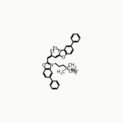 CCC(=Cc1oc2ccc(-c3ccccc3)cc2[n+]1CCC[N+](C)(C)C)C=C1Oc2ccc(-c3ccccc3)cc2N1CC.[Br-].[Br-]